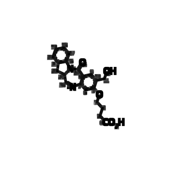 O=C(O)CCCOc1cc2c(cc1CO)C(=O)N1c3ccccc3CC1C=N2